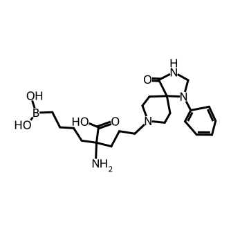 NC(CCCCB(O)O)(CCCN1CCC2(CC1)C(=O)NCN2c1ccccc1)C(=O)O